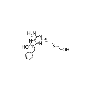 Nc1nc(SCCSCCO)nc2c1nc(O)n2Cc1ccccc1